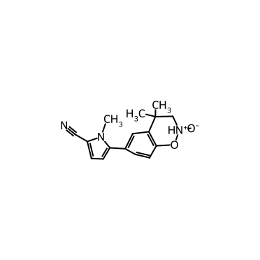 Cn1c(C#N)ccc1-c1ccc2c(c1)C(C)(C)C[NH+]([O-])O2